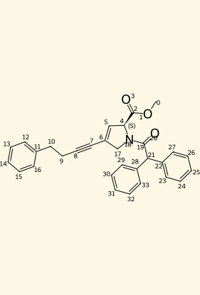 COC(=O)[C@@H]1C=C(C#CCCc2ccccc2)CN1C(=O)C(c1ccccc1)c1ccccc1